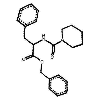 O=C(OCc1ccccc1)C(Cc1ccccc1)NC(=O)N1CCCCC1